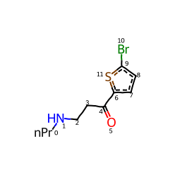 CCCNCCC(=O)c1ccc(Br)s1